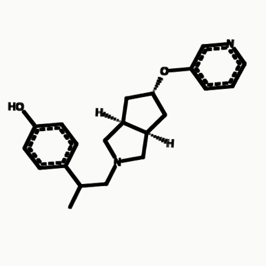 CC(CN1C[C@H]2C[C@H](Oc3cccnc3)C[C@H]2C1)c1ccc(O)cc1